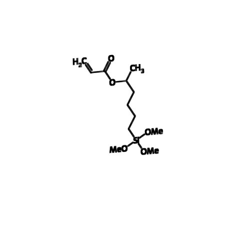 C=CC(=O)OC(C)CCCC[Si](OC)(OC)OC